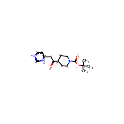 CC(C)(C)OC(=O)N1CCC(C(=O)Cc2ccncn2)CC1